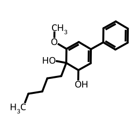 CCCCCC1(O)C(OC)=CC(c2ccccc2)=CC1O